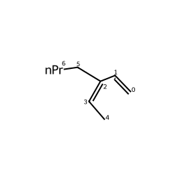 C=[C]C(=CC)CCCC